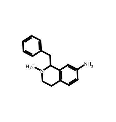 CN1CCc2ccc(N)cc2C1Cc1ccccc1